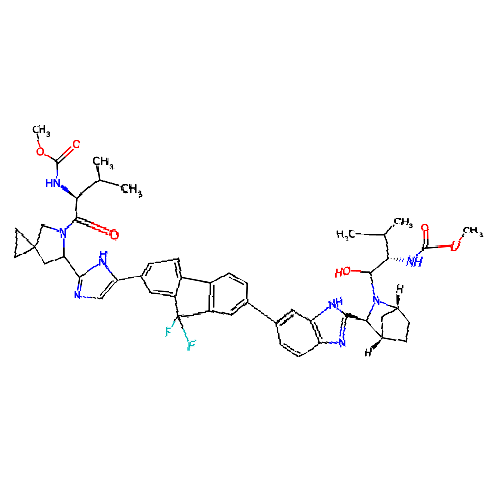 COC(=O)N[C@@H](C(C)C)C(O)N1[C@@H]2CC[C@@H](C2)[C@H]1c1nc2ccc(-c3ccc4c(c3)C(F)(F)c3cc(-c5cnc(C6CC7(CC7)CN6C(=O)[C@@H](NC(=O)OC)C(C)C)[nH]5)ccc3-4)cc2[nH]1